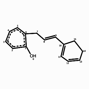 Oc1ccccc1CC=CC1=CC=CCC1